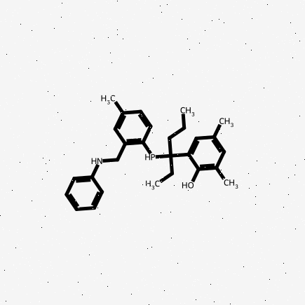 CCCC(CC)(Pc1ccc(C)cc1CNc1ccccc1)c1cc(C)cc(C)c1O